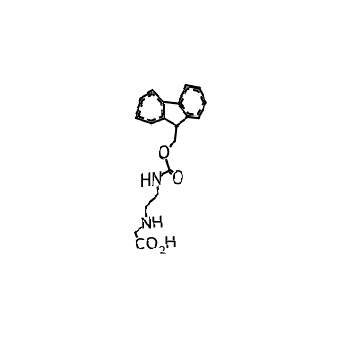 O=C(O)CNCCNC(=O)OCC1c2ccccc2-c2ccccc21